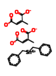 C/C(=C/C(=O)[O-])C(=O)[O-].C/C(=C/C(=O)[O-])C(=O)[O-].c1ccc([CH2][Sn+4][CH2]c2ccccc2)cc1